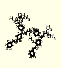 CC(C)CCN(c1ccc(OCc2ccccc2)cc1)C1CCN(C(=O)OC(C)(C)C)CC1.CC(C)CCN(c1ccc(OCc2ccccc2)cc1)C1CCNCC1